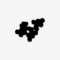 c1ccc(N(c2ccccc2)c2ccc3c(c2)N(c2ccccc2)c2cc(-c4ccc5oc6cc7c(cc6c5c4)B4c5ccccc5N(c5ccccc5)c5cccc(c54)N7c4cccc(-c5ccc6c(c5)sc5cc7c(cc56)B5c6ccccc6N(c6ccccc6)c6cccc(c65)N7c5ccccc5)c4)cc4c2B3c2cccc3c2N4c2ccccc2O3)cc1